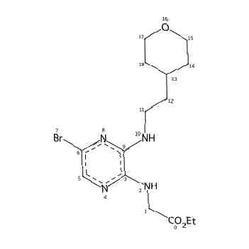 CCOC(=O)CNc1ncc(Br)nc1NCCC1CCOCC1